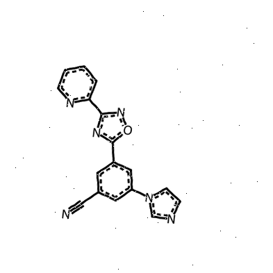 N#Cc1cc(-c2nc(-c3ccccn3)no2)cc(-n2ccnc2)c1